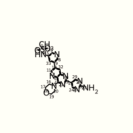 CS(=O)(=O)Nc1cncc(-c2cnc3c(N4CCOCC4)nc(-c4cnc(N)nc4)nc3c2)c1